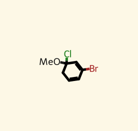 COC1(Cl)C=C(Br)C=CC1